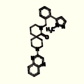 Cn1nccc1-c1ccccc1CN1CCCC2(CCN(c3cnc4ccccc4n3)CC2)C1=O